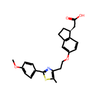 COc1ccc(-c2nc(CCOc3ccc4c(c3)CC[C@H]4CC(=O)O)c(C)s2)cc1